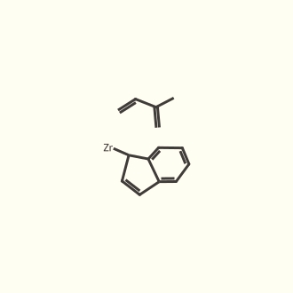 C=CC(=C)C.[Zr][CH]1C=Cc2ccccc21